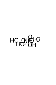 O=C(O)N[C@H](CO)[C@@H](O)C1=COC=C(C2=CC=CCC2)O1